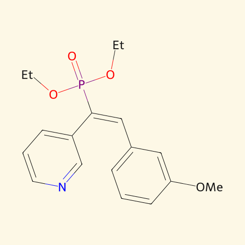 CCOP(=O)(OCC)/C(=C/c1cccc(OC)c1)c1cccnc1